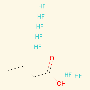 CCCC(=O)O.F.F.F.F.F.F.F